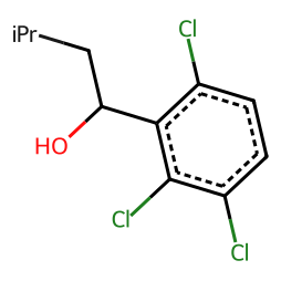 CC(C)CC(O)c1c(Cl)ccc(Cl)c1Cl